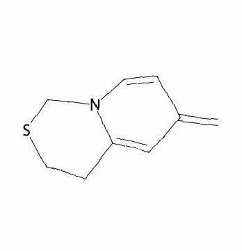 C=C1C=CN2CSCCC2=C1